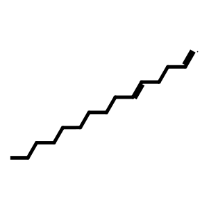 [CH]=CCCC=CCCCCCCCCC